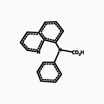 O=C(O)N(c1ccccc1)c1cccc2cccnc12